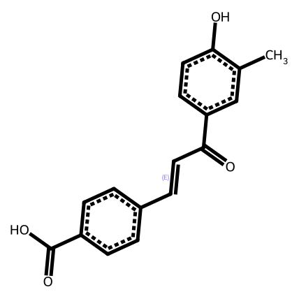 Cc1cc(C(=O)/C=C/c2ccc(C(=O)O)cc2)ccc1O